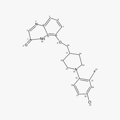 O=c1cnc2cccc(OCC3CCN(c4ccc(Cl)cc4F)CC3)c2[nH]1